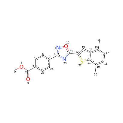 COC(=O)c1ccc(-c2noc(-c3cc4c(C)ccc(C)c4s3)n2)cc1